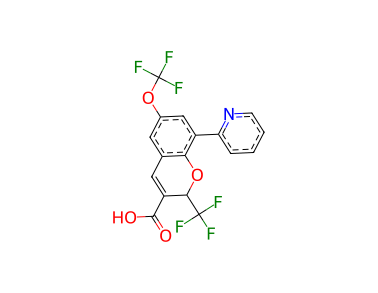 O=C(O)C1=Cc2cc(OC(F)(F)F)cc(-c3ccccn3)c2OC1C(F)(F)F